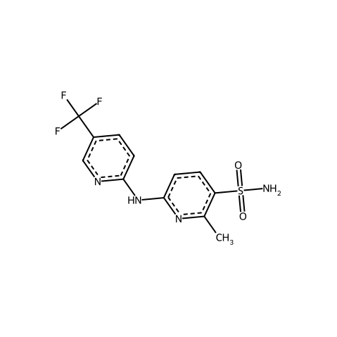 Cc1nc(Nc2ccc(C(F)(F)F)cn2)ccc1S(N)(=O)=O